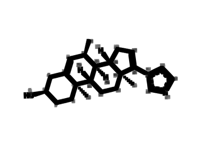 C[C@@H]1C=C2C[C@H](O)CC[C@]2(C)[C@H]2CC[C@]3(C)C(n4ccnc4)=CC[C@H]3[C@H]12